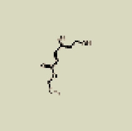 CCOC(=O)C=CC(C)=CCO